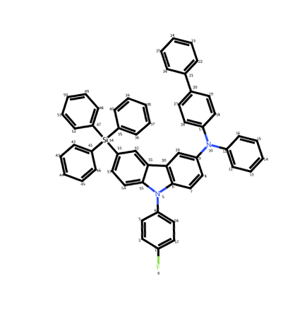 Fc1ccc(-n2c3ccc(N(c4ccccc4)c4ccc(-c5ccccc5)cc4)cc3c3cc([Si](c4ccccc4)(c4ccccc4)c4ccccc4)ccc32)cc1